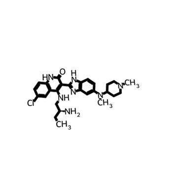 CC[C@H](N)CNc1c(-c2nc3cc(N(C)C4CCN(C)CC4)ccc3[nH]2)c(=O)[nH]c2ccc(Cl)cc12